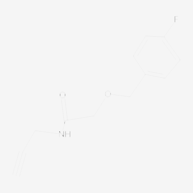 C#CCNC(=O)COCc1ccc(F)cc1